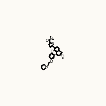 COc1ccc2c(Oc3ccc(OCCN4CCCCC4)cc3)c(-c3ccc(C(=O)N(C)C)s3)ccc2c1